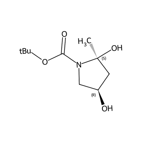 CC(C)(C)OC(=O)N1C[C@H](O)C[C@]1(C)O